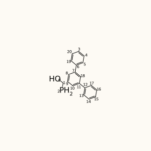 OCP.c1ccc(-c2cccc(-c3ccccc3)c2)cc1